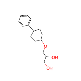 OCC(O)COC1CCC(c2ccccc2)CC1